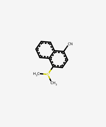 C[S+](C)c1ccc(C#N)c2ccccc12